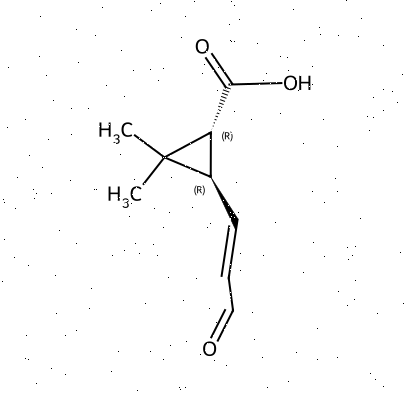 CC1(C)[C@H](C=CC=O)[C@H]1C(=O)O